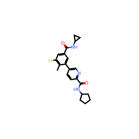 Cc1c(F)cc(C(=O)NC2CC2)cc1-c1ccc(C(=O)NC2CCCC2)nc1